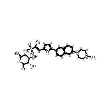 CC[C@H]1OC(O)[C@H](NS(=O)(=O)/C(C#N)=C/c2ccc(-c3ccc4cc(N5CCN(C)CC5)ccc4c3)o2)[C@@H](O)[C@@H]1O